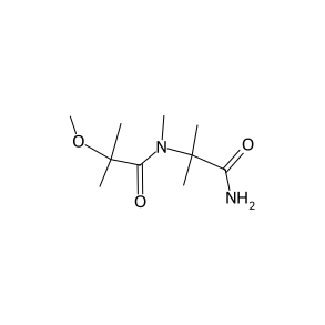 COC(C)(C)C(=O)N(C)C(C)(C)C(N)=O